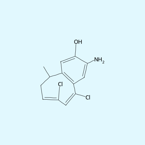 CC1C/C=C(Cl)/C=C(/Cl)c2cc(N)c(O)cc21